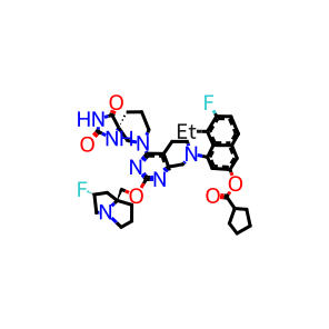 CCc1c(F)ccc2cc(OC(=O)C3CCCC3)cc(N3CCc4c(nc(OC[C@@]56CCCN5C[C@H](F)C6)nc4N4CCC[C@]5(C4)NC(=O)NC5=O)C3)c12